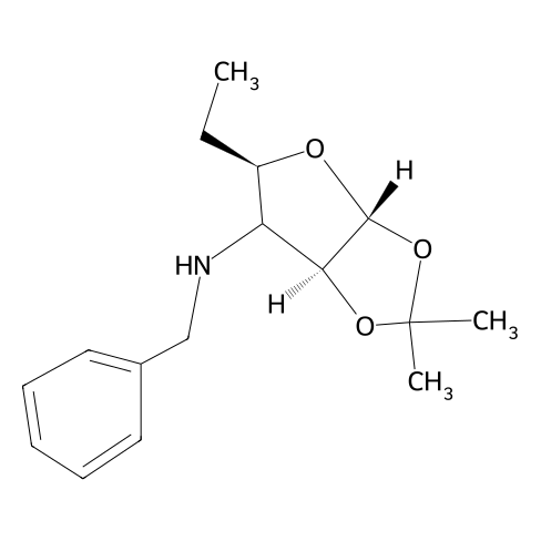 CC[C@H]1O[C@@H]2OC(C)(C)O[C@H]2C1NCc1ccccc1